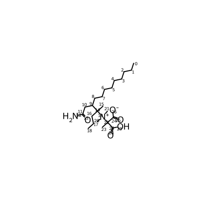 CCCCCCCCCC(CC(N)=O)C(C)(CCC)[N+](C)(C)C(C)(C(=O)[O-])C(=O)O